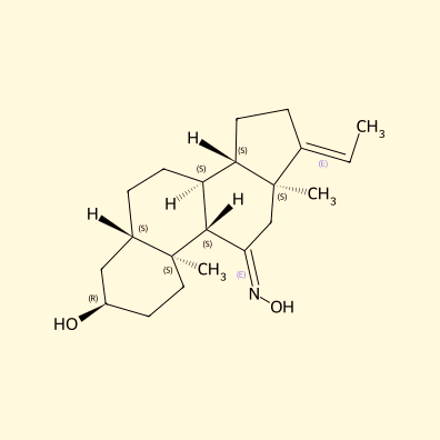 C/C=C1\CC[C@H]2[C@@H]3CC[C@H]4C[C@H](O)CC[C@]4(C)[C@H]3/C(=N/O)C[C@]12C